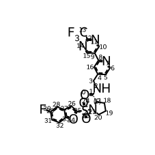 O=C(NCc1ccnc(-c2cnc(C(F)(F)F)nc2)c1)[C@@H]1CCCN1S(=O)(=O)c1cc2cc(F)ccc2o1